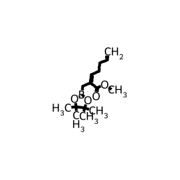 C=CCCC=C(CB1OC(C)(C)C(C)(C)O1)C(=O)OC